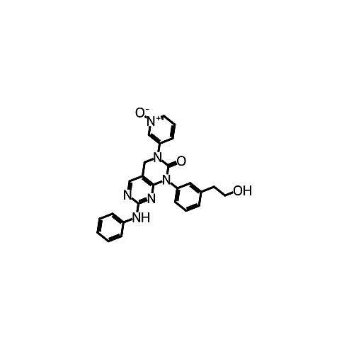 O=C1N(c2ccc[n+]([O-])c2)Cc2cnc(Nc3ccccc3)nc2N1c1cccc(CCO)c1